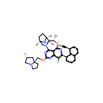 C#Cc1cccc2cccc(-c3nc4c5c(nc(OC[C@@]67CCCN6C[C@H](F)C7)nc5c3F)N3C[C@H]5CC[C@H](N5)[C@H]3[C@H](CC)O4)c12